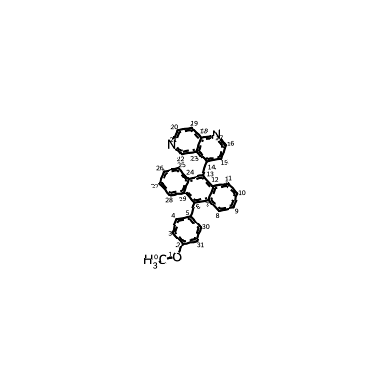 COc1ccc(-c2c3ccccc3c(-c3ccnc4ccncc34)c3ccccc23)cc1